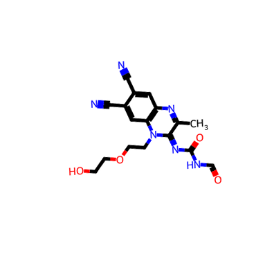 Cc1nc2cc(C#N)c(C#N)cc2n(CCOCCO)/c1=N/C(=O)NC=O